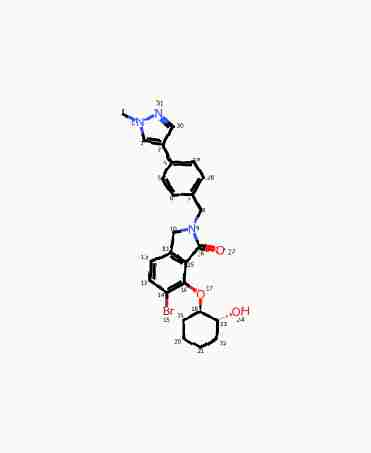 Cn1cc(-c2ccc(CN3Cc4ccc(Br)c(O[C@@H]5CCCC[C@H]5O)c4C3=O)cc2)cn1